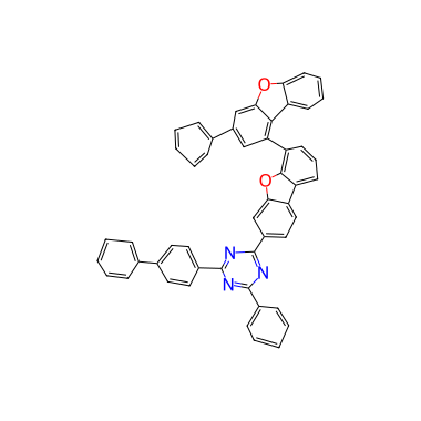 c1ccc(-c2ccc(-c3nc(-c4ccccc4)nc(-c4ccc5c(c4)oc4c(-c6cc(-c7ccccc7)cc7oc8ccccc8c67)cccc45)n3)cc2)cc1